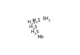 S.S.S.S.S.[Nb]